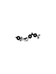 Cc1ccc(S(=O)(=O)OC[C@@H](O)COc2ccc(C(=O)c3ccc([N+](=O)[O-])cc3)cc2)cc1